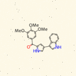 COc1cc(C(=O)c2cc(-c3c[nH]c4ccccc34)c[nH]2)cc(OC)c1OC